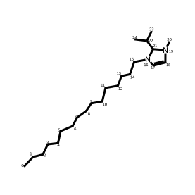 CCCCCCCCCCCCCCCCN1C=CN(C)C1C(C)C